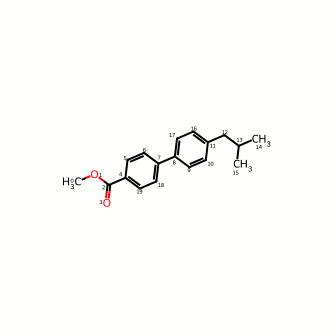 COC(=O)c1ccc(-c2ccc(CC(C)C)cc2)cc1